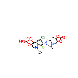 Cc1oc(=O)oc1CN1CCN(c2c(Cl)cc3c(=O)c(OC(=O)O)cn(C4CC4)c3c2F)CC1C